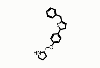 C1=C(Cc2ccccc2)SC(c2ccc(OC[C@@H]3CCCN3)cc2)C1